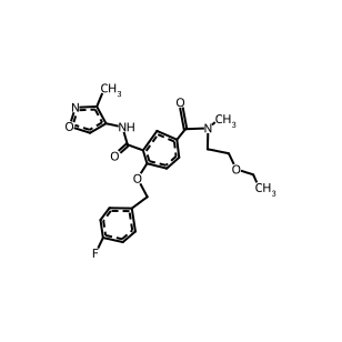 CCOCCN(C)C(=O)c1ccc(OCc2ccc(F)cc2)c(C(=O)Nc2conc2C)c1